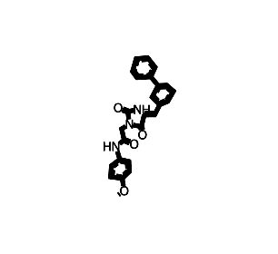 COc1ccc(NC(=O)CN2C(=O)N/C(=C\c3cccc(-c4ccccc4)c3)C2=O)cc1